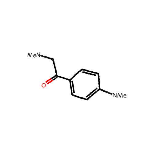 CNCC(=O)c1ccc(NC)cc1